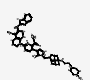 Cc1c(Nc2nc3ccccc3s2)nnc2c1CCCN2c1ccc(-c2cnn(CC34CC5CC6(OCCN7CCN(C)CC7)CC(C3)C56C4)c2C)c(C(=O)O)n1